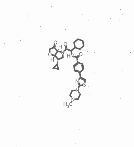 CN1CCN(c2nc(-c3ccc(C(=O)NC(C(=O)N4C[C@@H](C5CC5)[C@@H]5OCC(=O)[C@H]54)C4CCCCC4)cc3)cs2)CC1